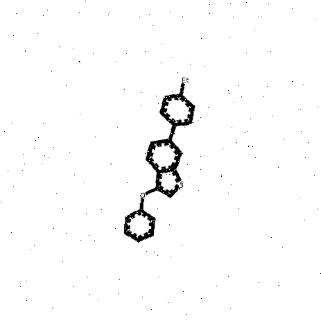 CCc1ccc(-c2ccc3c(Oc4ccccc4)csc3c2)cc1